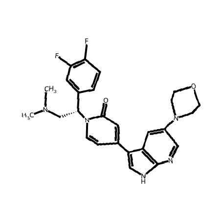 CN(C)C[C@H](c1ccc(F)c(F)c1)n1ccc(-c2c[nH]c3ncc(N4CCOCC4)cc23)cc1=O